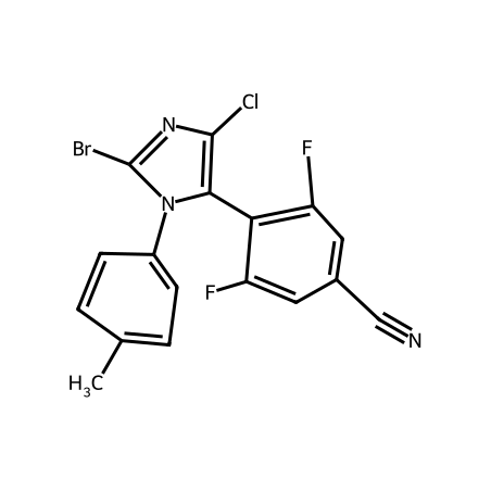 Cc1ccc(-n2c(Br)nc(Cl)c2-c2c(F)cc(C#N)cc2F)cc1